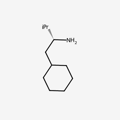 CC(C)[C@H](N)CC1CCCCC1